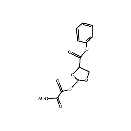 COC(=O)C(=O)OB1OCC(C(=O)Oc2ccccc2)O1